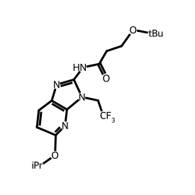 CC(C)Oc1ccc2nc(NC(=O)CCOC(C)(C)C)n(CC(F)(F)F)c2n1